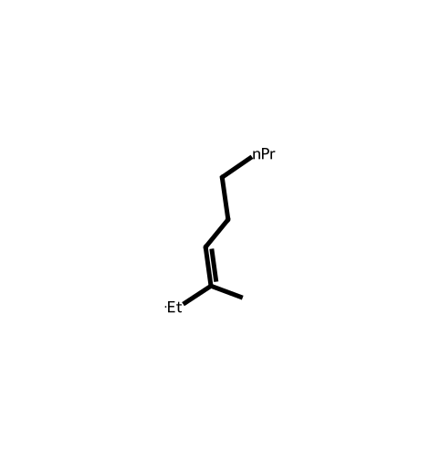 C[CH]C(C)=CCCCCC